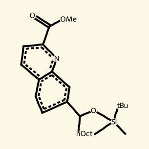 CCCCCCCCC(O[Si](C)(C)C(C)(C)C)c1ccc2ccc(C(=O)OC)nc2c1